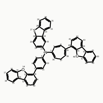 C1=CC(N(c2ccc(-c3cccc4c3oc3ccccc34)cc2)c2ccc3sc4ccccc4c3c2)=CCC=C1c1cccc2c1oc1ccccc12